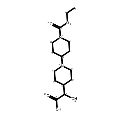 CCOC(=O)N1CCC(N2CCC(C(O)C(=O)O)CC2)CC1